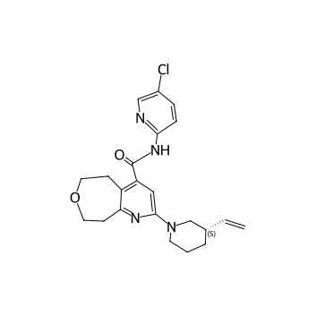 C=C[C@@H]1CCCN(c2cc(C(=O)Nc3ccc(Cl)cn3)c3c(n2)CCOCC3)C1